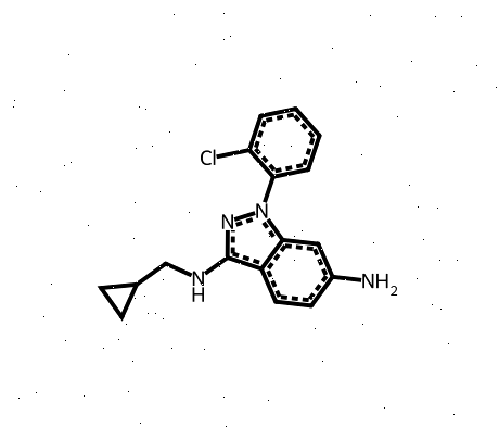 Nc1ccc2c(NCC3CC3)nn(-c3ccccc3Cl)c2c1